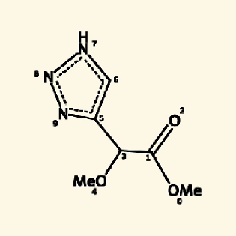 COC(=O)C(OC)c1c[nH]nn1